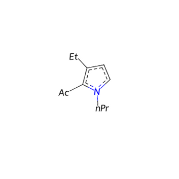 CCCn1ccc(CC)c1C(C)=O